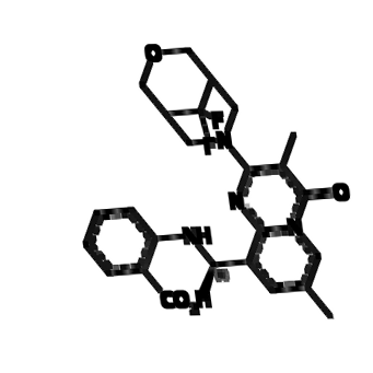 Cc1cc([C@@H](C)Nc2ccccc2C(=O)O)c2nc(N3CC4COCC(C3)C4(F)F)c(C)c(=O)n2c1